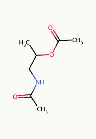 CC(=O)NCC(C)OC(C)=O